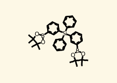 CC1(C)OB(c2cccc([Si](c3ccccc3)(c3ccccc3)c3cccc(B4OC(C)(C)C(C)(C)O4)c3)c2)OC1(C)C